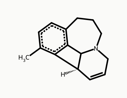 Cc1ccc2c3c1[C@@H]1C=CCN(CCC2)C31